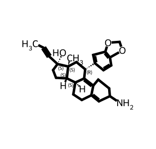 CC#C[C@]1(O)CC[C@H]2[C@@H]3CCC4=CC(N)CCC4=C3[C@@H](c3ccc4c(c3)OCO4)C[C@@]21C